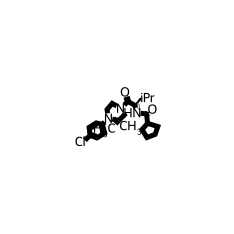 CC(C)[C@@H](NC(=O)C1CCCC1)C(=O)N1CCN(c2ccc(Cl)cc2)C(C)(C)C1